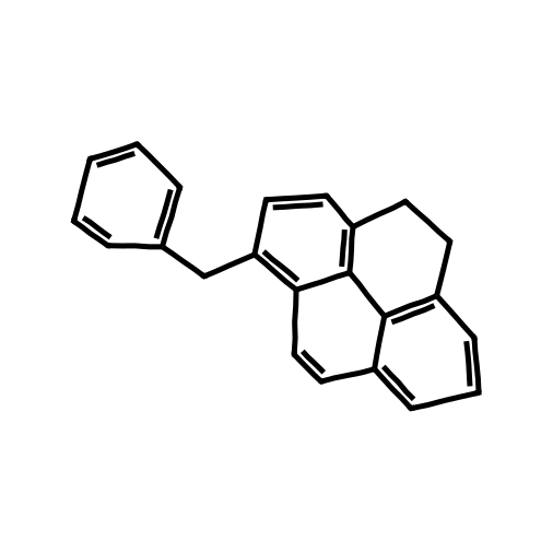 c1ccc(Cc2ccc3c4c2ccc2cccc(c24)CC3)cc1